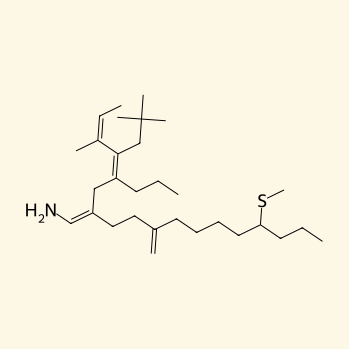 C=C(CCCCC(CCC)SC)CC/C(=C/N)C/C(CCC)=C(CC(C)(C)C)\C(C)=C/C